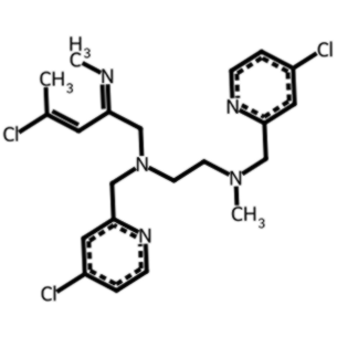 C/N=C(\C=C(/C)Cl)CN(CCN(C)Cc1cc(Cl)ccn1)Cc1cc(Cl)ccn1